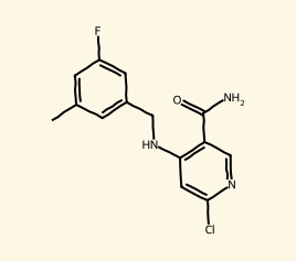 Cc1cc(F)cc(CNc2cc(Cl)ncc2C(N)=O)c1